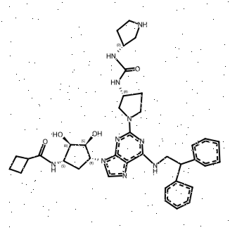 O=C(N[C@@H]1CCNC1)N[C@@H]1CCN(c2nc(NCC(c3ccccc3)c3ccccc3)c3ncn([C@@H]4C[C@H](NC(=O)C5CCC5)[C@@H](O)[C@H]4O)c3n2)C1